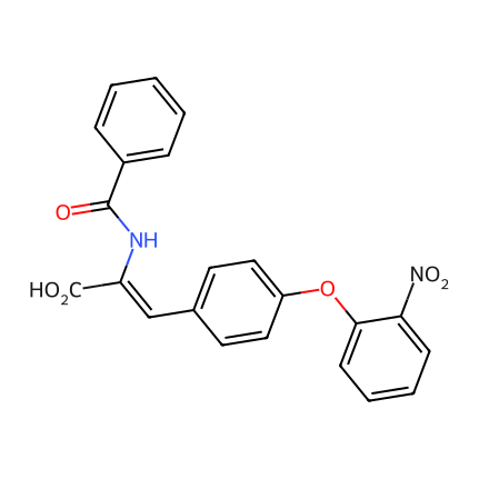 O=C(O)C(=Cc1ccc(Oc2ccccc2[N+](=O)[O-])cc1)NC(=O)c1ccccc1